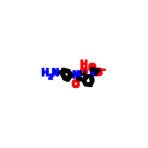 Nc1ccc(NC(=O)c2cccc([N+](=O)[O-])c2O)cc1